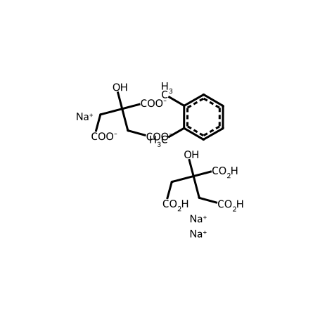 Cc1ccccc1C.O=C(O)CC(O)(CC(=O)O)C(=O)O.O=C([O-])CC(O)(CC(=O)[O-])C(=O)[O-].[Na+].[Na+].[Na+]